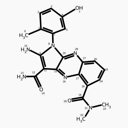 Cc1ccc(O)cc1-n1c(N)c(C(N)=O)c2nc3c(C(=O)N(C)C)cccc3nc21